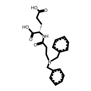 O=C(O)CC[C@H](NC(=O)CCN(Cc1ccccc1)Cc1ccccc1)C(=O)O